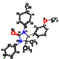 CC1(C)[C@@H](c2cccc(OC(F)(F)F)c2)N(c2ccc(C#N)cc2)C(=O)N1c1ccc(Cl)cc1